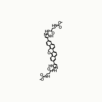 COC(=O)NCCC(=O)Pc1ncc(-c2ccc3c4c(ccc3c2)-c2ccc3cc(-c5cnc(PC(=O)CCNC(=O)OC)[nH]5)ccc3c2OC4)[nH]1